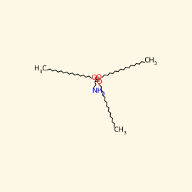 CCCCCCCCCCCCCCCCCCO[Si](CCCN)(OCCCCCCCCCCCCCCCCCC)OCCCCCCCCCCCCCCCCCC